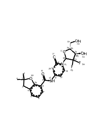 CC1(C)Cc2cccc(C(=O)Nc3ccn(C4O[C@H](CO)[C@@H](O)C4(F)F)c(=O)n3)c2O1